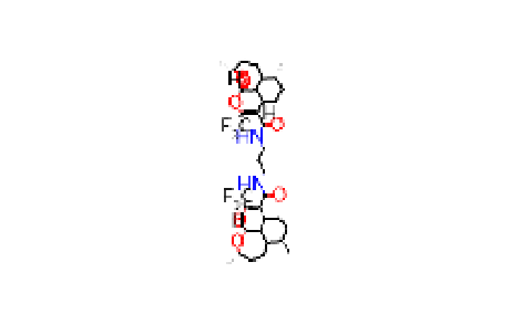 C[C@@H]1CCC2C(C(=O)NCCCNC(=O)C3=C(C(F)(F)F)O[C@@H]4O[C@]5(C)CCC6[C@H](C)CC[C@@H]3[C@]64OO5)=C(C(F)(F)F)O[C@@H]3O[C@@H](C)CCC1C23